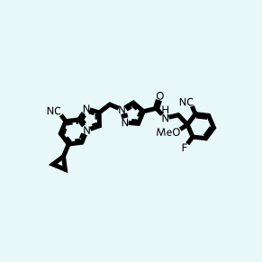 COC1(CNC(=O)c2cnn(Cc3cn4cc(C5CC5)cc(C#N)c4n3)c2)C(C#N)=CC=CC1F